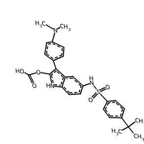 CN(C)c1ccc(-c2c(OC(=O)O)[nH]c3ccc(NS(=O)(=O)c4ccc(C(C)(C)C)cc4)cc23)cc1